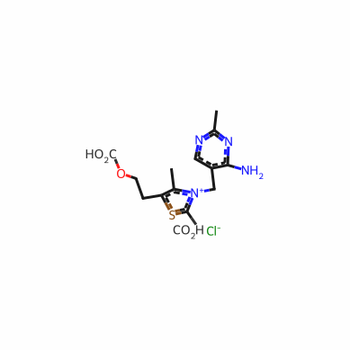 Cc1ncc(C[n+]2c(C(=O)O)sc(CCOC(=O)O)c2C)c(N)n1.[Cl-]